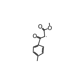 COC(=O)[CH]C(=O)c1ccc(C)cc1